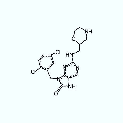 O=c1[nH]c2cnc(NCC3CNCCO3)nc2n1Cc1cc(Cl)ccc1Cl